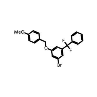 COc1ccc(COc2cc(Br)cc(C(F)(F)c3ccccc3)c2)cc1